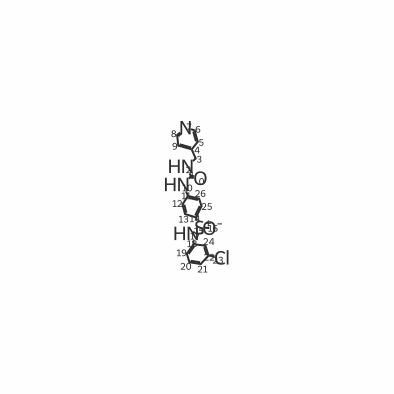 O=C(NCc1ccncc1)Nc1ccc([S+]([O-])Nc2cccc(Cl)c2)cc1